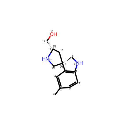 Cc1ccc2c(c1)[C@@]1(CN2)CN[C@H](CO)C1